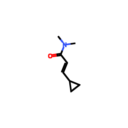 CN(C)C(=O)C=CC1CC1